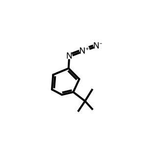 CC(C)(C)c1cccc(N=[N+]=[N-])c1